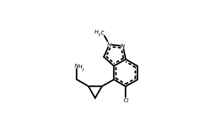 Cn1cc2c(C3CC3CN)c(Cl)ccc2n1